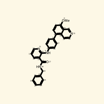 COc1ccc(-c2ccc(Nc3ncccc3C(=O)NCc3ccccc3)cc2)c2ccncc12